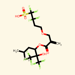 C=C(COCCC(F)(F)C(F)(F)S(=O)(=O)O)C(=O)OC(CC(C)C)C(O)(C(F)(F)F)C(F)(F)F